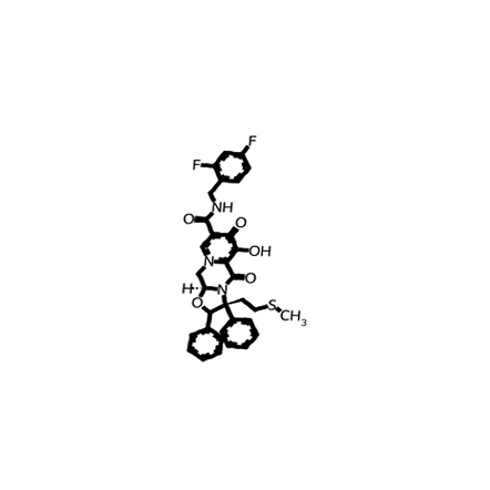 CSCC[C@@]1(c2ccccc2)C(c2ccccc2)O[C@H]2Cn3cc(C(=O)NCc4ccc(F)cc4F)c(=O)c(O)c3C(=O)N21